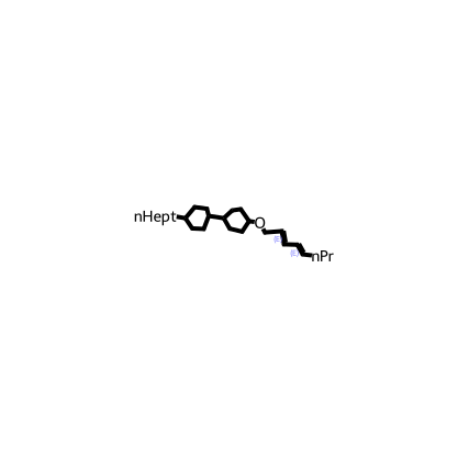 CCC/C=C/C=C/COC1CCC(C2CCC(CCCCCCC)CC2)CC1